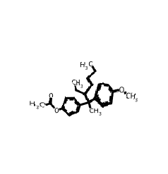 CCCCC(CC)C(C)(c1ccc(OC)cc1)c1ccc(OC(C)=O)cc1